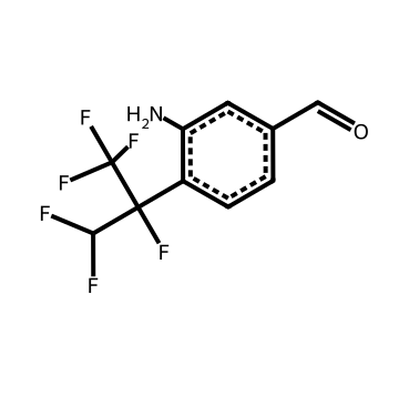 Nc1cc(C=O)ccc1C(F)(C(F)F)C(F)(F)F